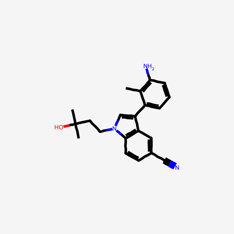 Cc1c(N)cccc1-c1cn(CCC(C)(C)O)c2ccc(C#N)cc12